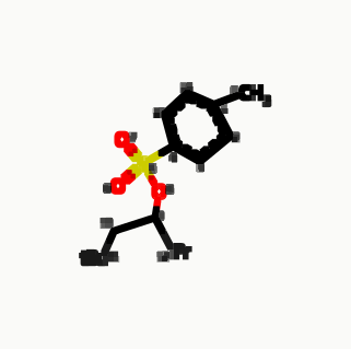 Cc1ccc(S(=O)(=O)OC(CC(C)(C)C)C(C)C)cc1